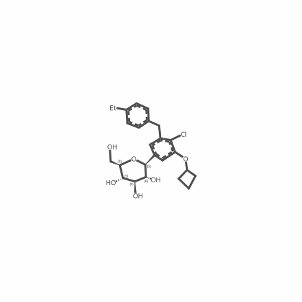 CCc1ccc(Cc2cc([C@@H]3O[C@H](CO)[C@@H](O)[C@H](O)[C@H]3O)cc(OC3CCC3)c2Cl)cc1